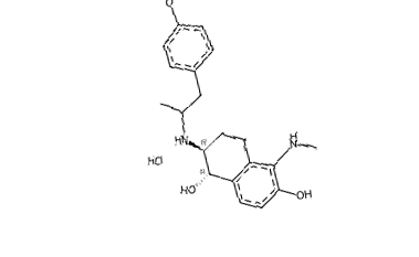 CNc1c(O)ccc2c1CC[C@H](NC(C)Cc1ccc(OC)cc1)[C@H]2O.Cl